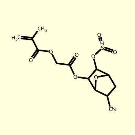 C=C(C)C(=O)OCC(=O)OC1C2OC(CC2C#N)C1O[SH](=O)=O